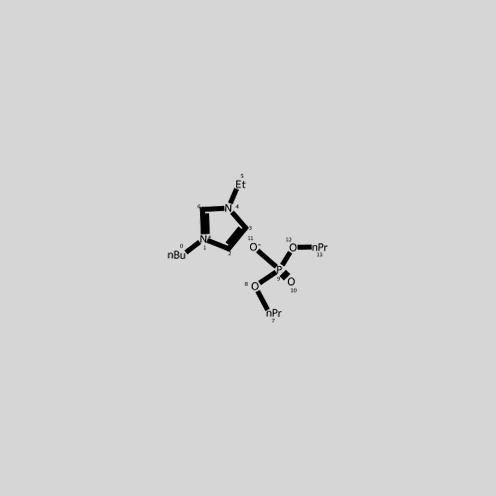 CCCC[n+]1ccn(CC)c1.CCCOP(=O)([O-])OCCC